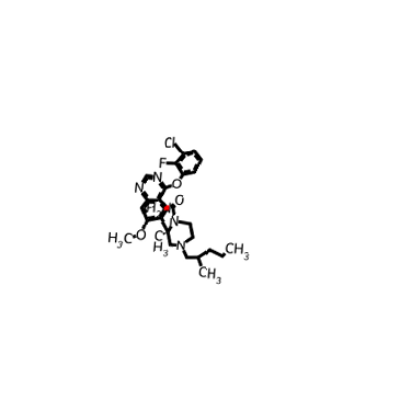 CCCC(C)CN1CCN(C(N)=O)[C@](C)(c2cc3c(Oc4cccc(Cl)c4F)ncnc3cc2OC)C1